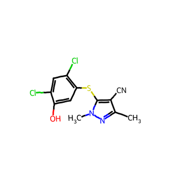 Cc1nn(C)c(Sc2cc(O)c(Cl)cc2Cl)c1C#N